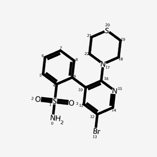 NS(=O)(=O)c1ccccc1-c1cc(Br)cnc1N1CCSCC1